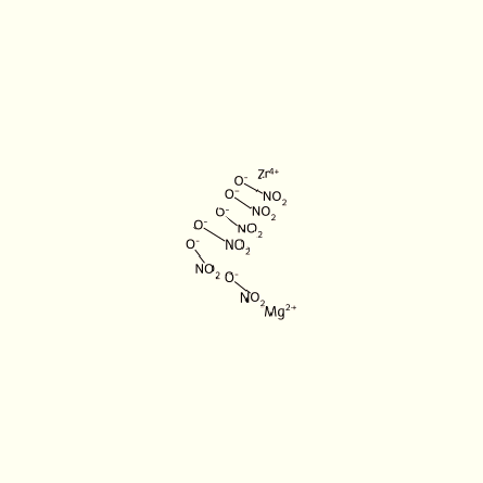 O=[N+]([O-])[O-].O=[N+]([O-])[O-].O=[N+]([O-])[O-].O=[N+]([O-])[O-].O=[N+]([O-])[O-].O=[N+]([O-])[O-].[Mg+2].[Zr+4]